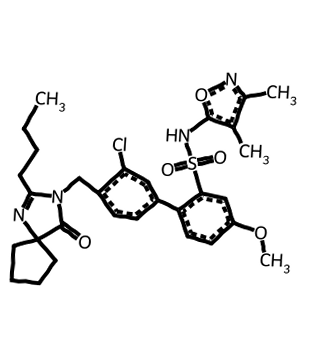 CCCCC1=NC2(CCCC2)C(=O)N1Cc1ccc(-c2ccc(OC)cc2S(=O)(=O)Nc2onc(C)c2C)cc1Cl